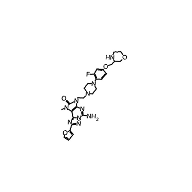 Cn1c(=O)n(CCN2CCN(c3ccc(OCC4COCCN4)cc3F)CC2)c2nc(N)n3nc(-c4ccco4)nc3c21